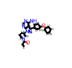 C=CC(=O)N1C=CCC(n2nc(-c3ccc(Oc4ccccc4)cc3)c3c(N)ncnc32)=C1